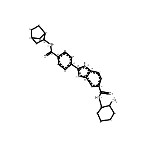 CC1CCCCC1NC(=O)c1ccc2[nH]c(-c3ccc(C(=O)NC4CC5CCC4C5)cc3)nc2c1